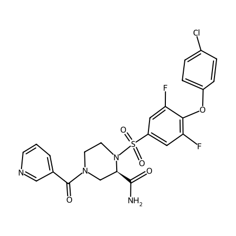 NC(=O)[C@H]1CN(C(=O)c2cccnc2)CCN1S(=O)(=O)c1cc(F)c(Oc2ccc(Cl)cc2)c(F)c1